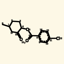 CC1CCC(OC(=O)c2ccc(Cl)cc2)C(=O)C1